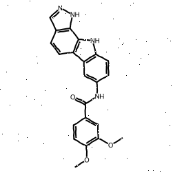 COc1ccc(C(=O)Nc2ccc3[nH]c4c(ccc5cn[nH]c54)c3c2)cc1OC